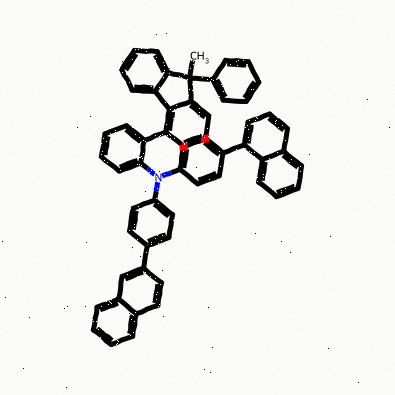 CC1(c2ccccc2)c2ccccc2-c2c(-c3ccccc3N(c3ccc(-c4ccc5ccccc5c4)cc3)c3ccc(-c4cccc5ccccc45)cc3)cccc21